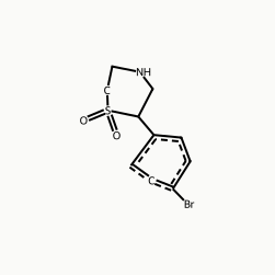 O=S1(=O)CCNCC1c1ccc(Br)cc1